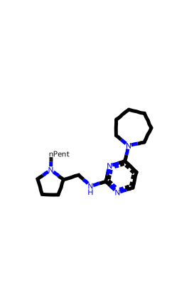 CCCCCN1CCCC1CNc1nccc(N2CCCCCC2)n1